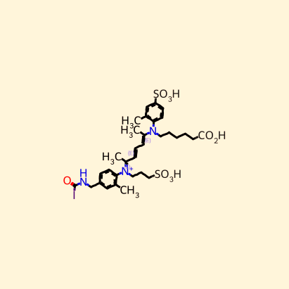 C\C(=C/C=C/C(C)=[N+](\CCCS(=O)(=O)O)c1ccc(CNC(=O)I)cc1C)N(CCCCCC(=O)O)c1ccc(S(=O)(=O)O)cc1C